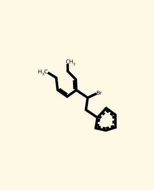 CC/C=C\C(=C/CC)C(Br)Cc1ccccc1